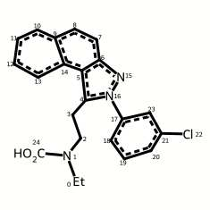 CCN(CCc1c2c(ccc3ccccc32)nn1-c1cccc(Cl)c1)C(=O)O